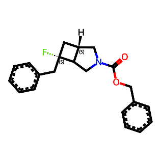 O=C(OCc1ccccc1)N1CC2[C@@H](C1)C[C@]2(F)Cc1ccccc1